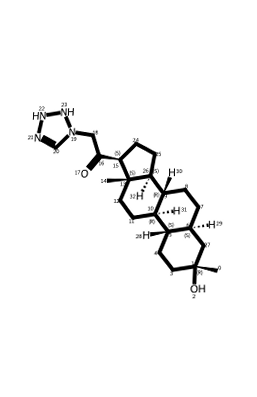 C[C@@]1(O)CC[C@H]2[C@@H](CC[C@@H]3[C@@H]2CC[C@]2(C)[C@@H](C(=O)CN4C=NNN4)CC[C@@H]32)C1